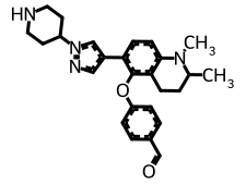 CC1CCc2c(ccc(-c3cnn(C4CCNCC4)c3)c2Oc2ccc(C=O)cc2)N1C